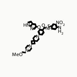 COCCN1CCN(C2CC3(CCN(c4ccc(C(=O)NSc5ccc(N)c([N+](=O)[O-])c5)c(Oc5cnc6[nH]ccc6c5)c4)CC3)C2)CC1